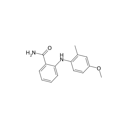 COc1ccc(Nc2ccccc2C(N)=O)c(C)c1